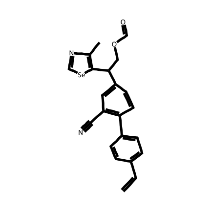 C=Cc1ccc(-c2ccc(C(COC=O)c3[se]cnc3C)cc2C#N)cc1